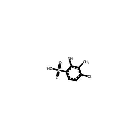 Cc1c(Cl)ccc(S(=O)(=O)O)c1[NH]